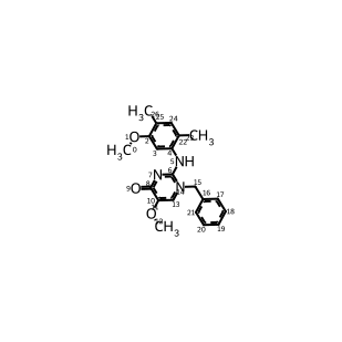 COc1cc(Nc2nc(=O)c(OC)cn2Cc2ccccc2)c(C)cc1C